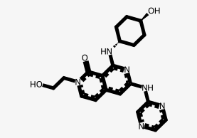 O=c1c2c(N[C@H]3CC[C@H](O)CC3)nc(Nc3cnccn3)cc2ccn1CCO